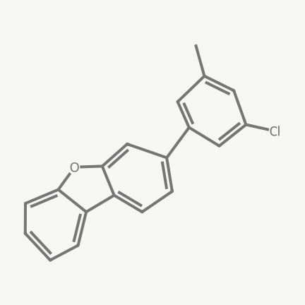 Cc1cc(Cl)cc(-c2ccc3c(c2)oc2ccccc23)c1